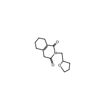 O=C1CC2=C(CCCC2)C(=O)N1CC1CCCO1